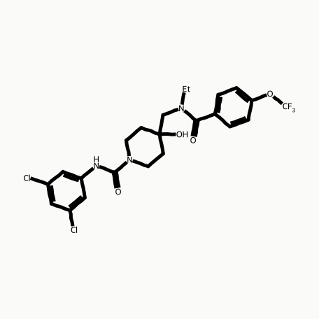 CCN(CC1(O)CCN(C(=O)Nc2cc(Cl)cc(Cl)c2)CC1)C(=O)c1ccc(OC(F)(F)F)cc1